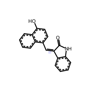 O=C1Nc2ccccc2/C1=C/c1ccc(O)c2ccccc12